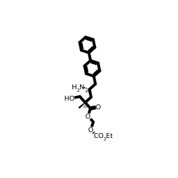 CCOC(=O)OCOC(=O)[C@](C)(CO)C[C@H](N)Cc1ccc(-c2ccccc2)cc1